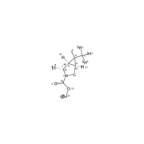 [2H]C([2H])([2H])C1(C)[C@@H]2[C@@H](CC)N(C(=O)OC(C)(C)C)C[C@@H]21